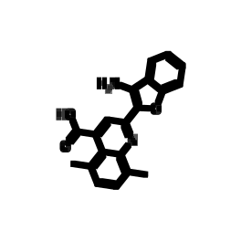 Cc1ccc(C)c2c(C(=O)O)cc(-c3oc4ccccc4c3N)nc12